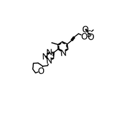 Cc1cc(C#CCOS(C)(=O)=O)cnc1-c1cn(CC2CCCCO2)nn1